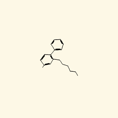 Oc1ccc(-c2ccccc2)c(CCCCCCl)c1